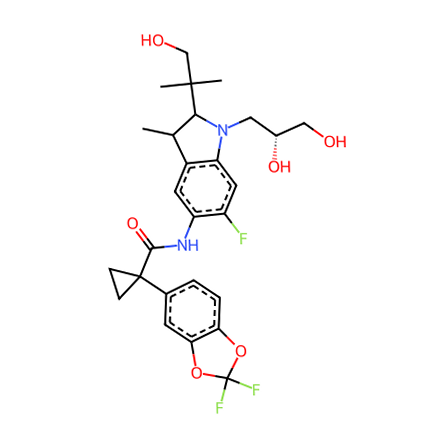 CC1c2cc(NC(=O)C3(c4ccc5c(c4)OC(F)(F)O5)CC3)c(F)cc2N(C[C@@H](O)CO)C1C(C)(C)CO